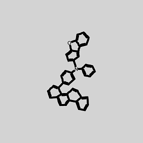 c1ccc(N(c2ccc(-c3cccc4ccc5c6ccccc6ccc5c34)cc2)c2ccc3oc4ccccc4c3c2)cc1